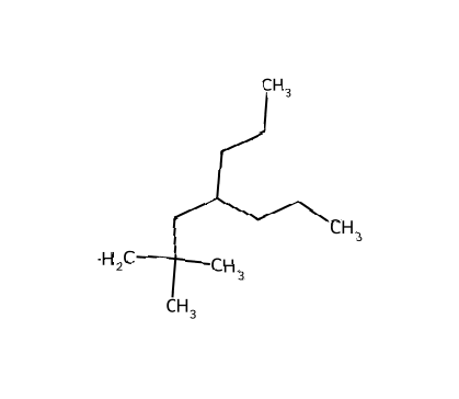 [CH2]C(C)(C)CC(CCC)CCC